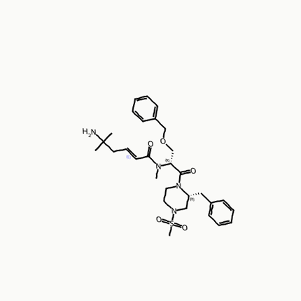 CN(C(=O)/C=C/CC(C)(C)N)[C@H](COCc1ccccc1)C(=O)N1CCN(S(C)(=O)=O)C[C@H]1Cc1ccccc1